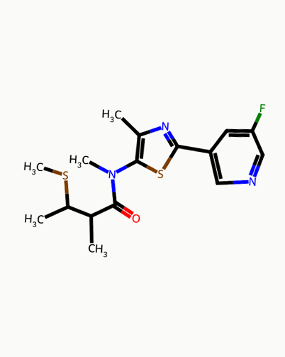 CSC(C)C(C)C(=O)N(C)c1sc(-c2cncc(F)c2)nc1C